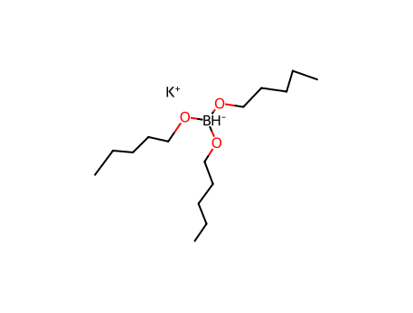 CCCCCO[BH-](OCCCCC)OCCCCC.[K+]